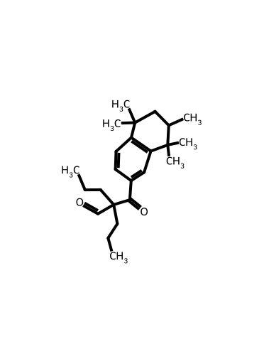 CCCC(C=O)(CCC)C(=O)c1ccc2c(c1)C(C)(C)C(C)CC2(C)C